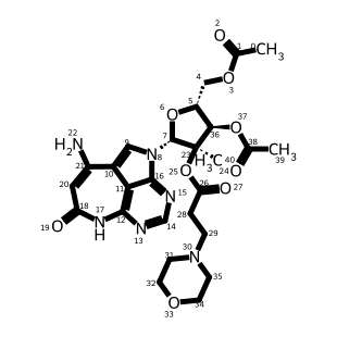 CC(=O)OC[C@H]1O[C@@H](n2cc3c4c(ncnc42)NC(=O)C=C3N)[C@](C)(OC(=O)CCN2CCOCC2)[C@@H]1OC(C)=O